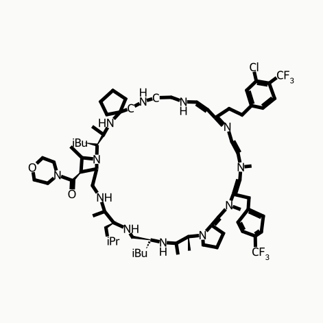 CC[C@H](C)[C@H]1C(C)NC2(CCCC2)CNCCNC=CC(CCc2ccc(C(F)(F)F)c(Cl)c2)=NC=CN(C)C=C(Cc2ccc(C(F)(F)F)cc2)N(C)C=C2CCCN2[C@@H](C)C(C)N[C@@H]([C@@H](C)CC)CN[C@@H](CC(C)C)C(C)NCC2[C@@H](C(=O)N3CCOCC3)C(C)N21